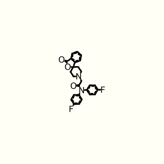 O=C1OC2(CCN(CC(=O)N(c3ccc(F)cc3)c3ccc(F)cc3)CC2)c2ccccc21